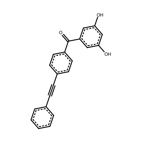 O=C(c1ccc(C#Cc2ccccc2)cc1)c1cc(O)cc(O)c1